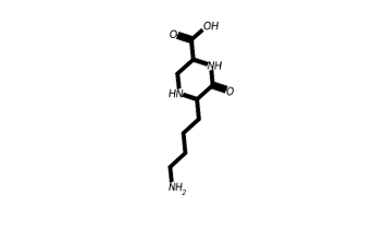 NCCCCC1NCC(C(=O)O)NC1=O